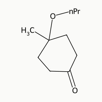 CCCOC1(C)CCC(=O)CC1